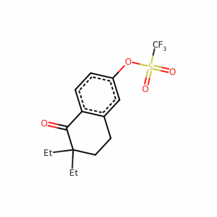 CCC1(CC)CCc2cc(OS(=O)(=O)C(F)(F)F)ccc2C1=O